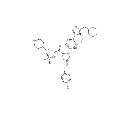 CC[C@H](NC(=O)[C@@H]1C[C@@H](OCc2ccc(Cl)cc2)CN1C(=O)[C@@H](CCC1CCNCC1)NS(C)(=O)=O)C(=O)c1noc(CC2CCCCC2)n1